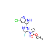 COC(=O)C1(Nc2nc(-c3c[nH]c4ncc(Cl)cc34)ncc2F)CCC1